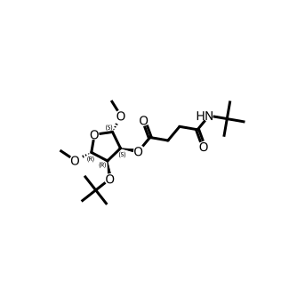 CO[C@H]1O[C@@H](OC)[C@H](OC(C)(C)C)[C@@H]1OC(=O)CCC(=O)NC(C)(C)C